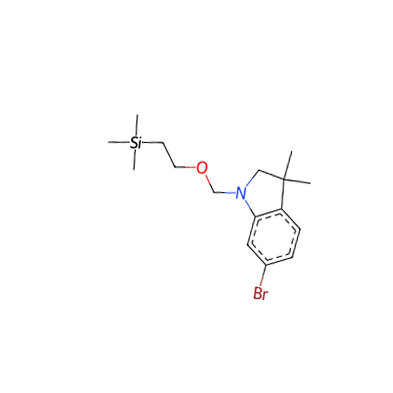 CC1(C)CN(COCC[Si](C)(C)C)c2cc(Br)ccc21